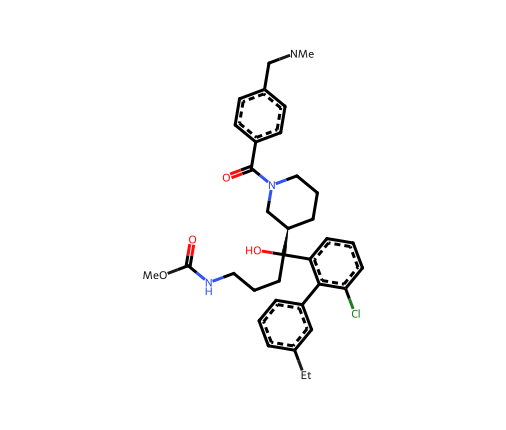 CCc1cccc(-c2c(Cl)cccc2C(O)(CCCNC(=O)OC)[C@@H]2CCCN(C(=O)c3ccc(CNC)cc3)C2)c1